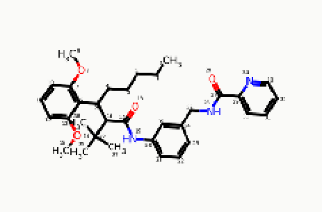 CCCCCC(c1c(OC)cccc1OC)C(C(=O)Nc1cccc(CNC(=O)c2ccccn2)c1)C(C)(C)C